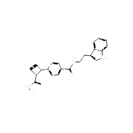 O=C(NCCc1c[nH]c2ccccc12)c1ccc(C2C#CC2C(=O)NO)cc1